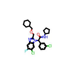 O=C(NC1CCCC1)C(c1cccc(Cl)c1)n1c(COCC2CCCCC2)nc2cc(F)c(Cl)cc21